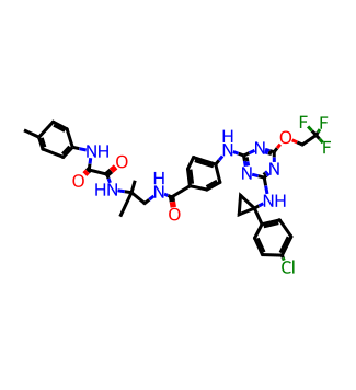 Cc1ccc(NC(=O)C(=O)NC(C)(C)CNC(=O)c2ccc(Nc3nc(NC4(c5ccc(Cl)cc5)CC4)nc(OCC(F)(F)F)n3)cc2)cc1